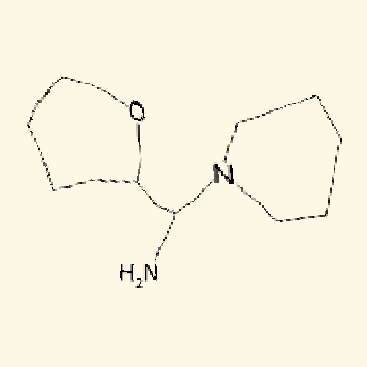 NC(C1CCCO1)N1CCCCC1